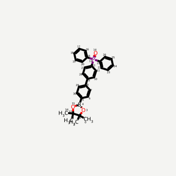 CC1(C)OB(c2ccc(-c3ccc(P(=O)(c4ccccc4)c4ccccc4)cc3)cc2)OC1(C)C